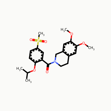 COc1cc2c(cc1OC)CN(C(=O)c1cc(S(C)(=O)=O)ccc1OC(C)C)CC2